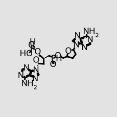 Nc1ncnc2c1ncn2C1CCC(CO[PH](=O)C[C@H]2C[C@H](n3cnc4c(N)ncnc43)O[C@@H]2O[PH](=O)O)O1